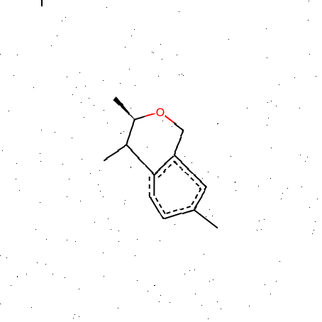 Cc1ccc2c(c1)CO[C@H](C)C2C